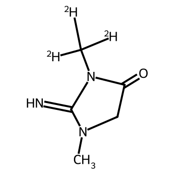 [2H]C([2H])([2H])N1C(=N)N(C)CC1=O